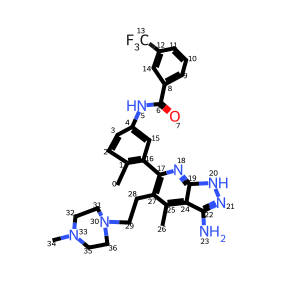 Cc1ccc(NC(=O)c2cccc(C(F)(F)F)c2)cc1-c1nc2[nH]nc(N)c2c(C)c1CCN1CCN(C)CC1